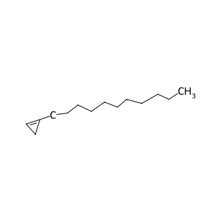 CCCCCCCCCCCC1=CC1